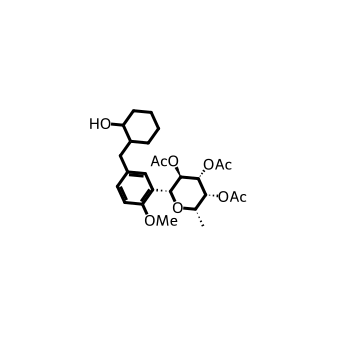 COc1ccc(CC2CCCCC2O)cc1[C@H]1O[C@@H](C)[C@@H](OC(C)=O)[C@@H](OC(C)=O)[C@@H]1OC(C)=O